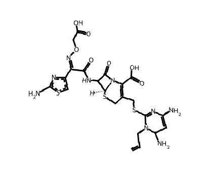 C=CCN1C(SCC2=C(C(=O)O)N3C(=O)C(NC(=O)/C(=N\OCC(=O)O)c4csc(N)n4)[C@@H]3SC2)=NC(N)=CC1N